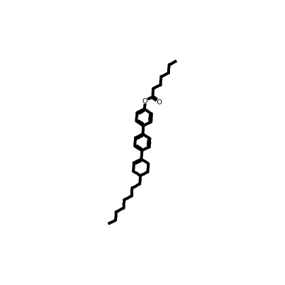 CCCCCCCCC1CC=C(c2ccc(-c3ccc(OC(=O)CCCCCC)cc3)cc2)CC1